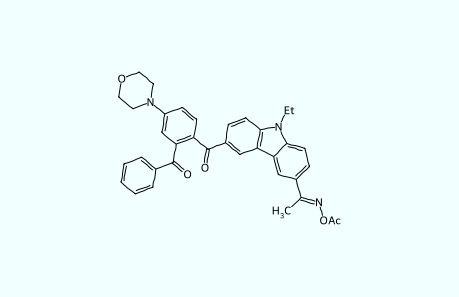 CCn1c2ccc(C(=O)c3ccc(N4CCOCC4)cc3C(=O)c3ccccc3)cc2c2cc(/C(C)=N/OC(C)=O)ccc21